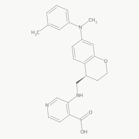 Cc1cccc(N(C)c2ccc3c(c2)OCC[C@H]3CNc2cnccc2C(=O)O)c1